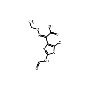 CCON=C(C(=O)O)c1nc(NC=O)sc1Cl